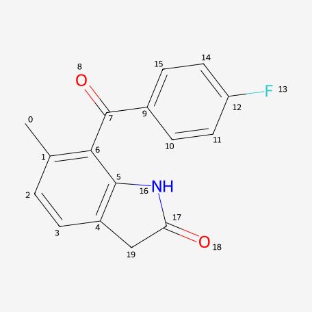 Cc1ccc2c(c1C(=O)c1ccc(F)cc1)NC(=O)C2